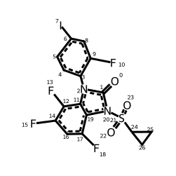 O=c1n(-c2ccc(I)cc2F)c2c(F)c(F)cc(F)c2n1S(=O)(=O)C1CC1